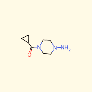 NN1CCN(C(=O)C2CC2)CC1